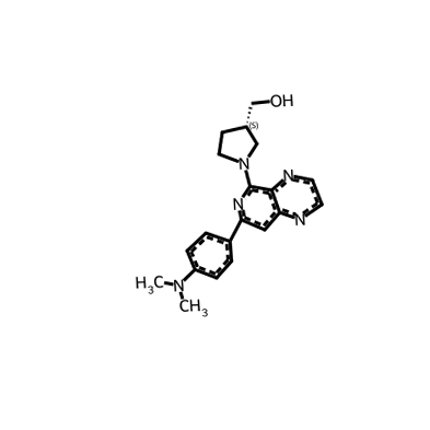 CN(C)c1ccc(-c2cc3nccnc3c(N3CC[C@H](CO)C3)n2)cc1